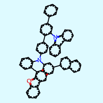 c1ccc(-c2ccc(-c3ccc(N(c4cccc(-c5ccc6ccccc6c5)c4)c4ccccc4-c4cccc5c4oc4ccccc45)cc3)c(-n3c4ccccc4c4ccccc43)c2)cc1